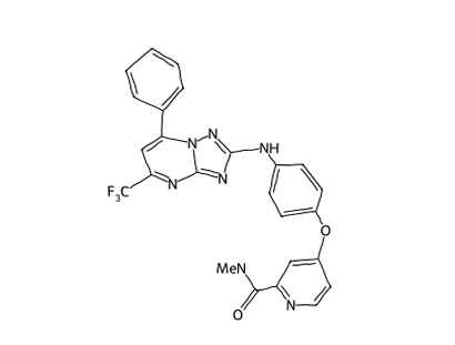 CNC(=O)c1cc(Oc2ccc(Nc3nc4nc(C(F)(F)F)cc(-c5ccccc5)n4n3)cc2)ccn1